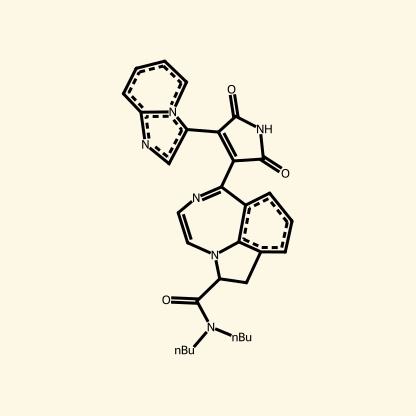 CCCCN(CCCC)C(=O)C1Cc2cccc3c2N1C=CN=C3C1=C(c2cnc3ccccn23)C(=O)NC1=O